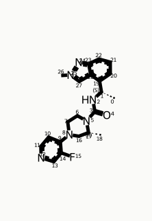 C[C@H](NC(=O)N1CCN(c2ccncc2F)C[C@H]1C)c1cccc2nn(C)cc12